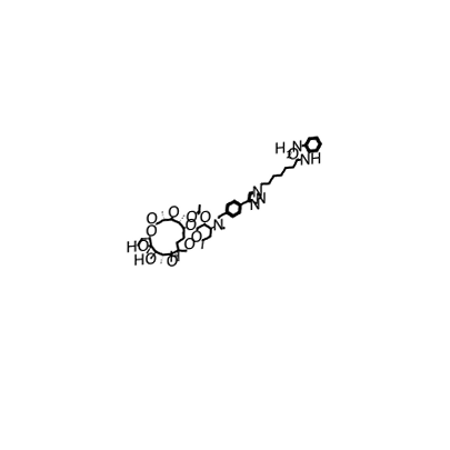 CC[C@H]1OC(=O)[C@H](C)C(=O)[C@H](C)[C@@H](O[C@@H]2O[C@H](C)C[C@H](N(C)Cc3ccc(-c4cn(CCCCCCC(=O)Nc5ccccc5N)nn4)cc3)[C@H]2OC(C)=O)[C@@]2(C)C[C@@H](CO2)C(=O)[C@H](C)[C@@H](O)[C@]1(C)O